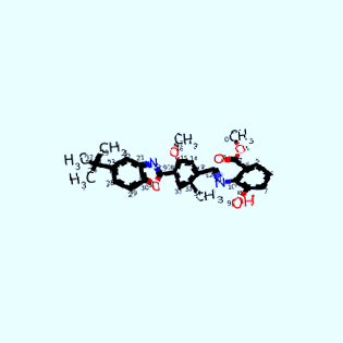 COC(=O)c1cccc(O)c1/N=C/c1cc(OC)c(-c2nc3cc(C(C)(C)C)ccc3o2)cc1C